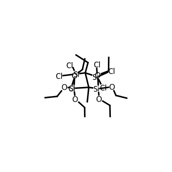 CCO[Si](OCC)(OCC)C(C)(C(CC)([Si](Cl)(Cl)Cl)[Si](Cl)(Cl)Cl)[Si](OCC)(OCC)OCC